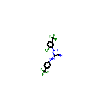 N#CC(N=Nc1ccc(C(F)(F)F)cc1)=NNc1cc(C(F)(F)F)ccc1Cl